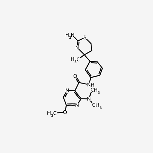 COc1cnc(C(=O)Nc2cccc(C3(C)CCSC(N)=N3)c2)c(N(C)C)n1